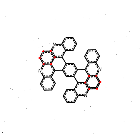 c1ccc2c(-c3cc(-c4c5ccccc5nc5ccccc45)c(-c4c5ccccc5nc5ccccc45)cc3-c3c4ccccc4nc4ccccc34)c3ccccc3nc2c1